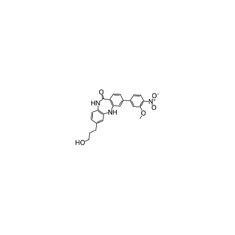 COc1cc(-c2ccc3c(c2)Nc2cc(CCCO)ccc2NC3=O)ccc1[N+](=O)[O-]